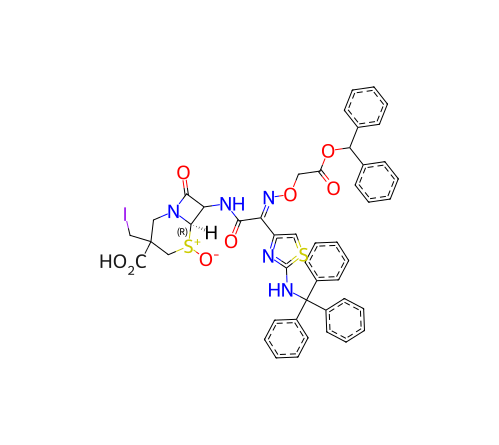 O=C(CON=C(C(=O)NC1C(=O)N2CC(CI)(C(=O)O)C[S+]([O-])[C@H]12)c1csc(NC(c2ccccc2)(c2ccccc2)c2ccccc2)n1)OC(c1ccccc1)c1ccccc1